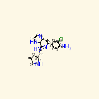 Nc1ccc(C2=CC3=NC=CNC3C(NC[C@H]3CCCNC3)=N2)cc1Cl